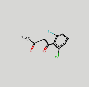 CCOC(=O)C(=O)CC(=O)c1c(F)cccc1Cl